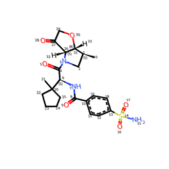 C[C@H]1CN(C(=O)[C@@H](NC(=O)c2ccc(S(N)(=O)=O)cc2)C2(C)CCCC2)[C@@H]2C(=O)CO[C@@H]21